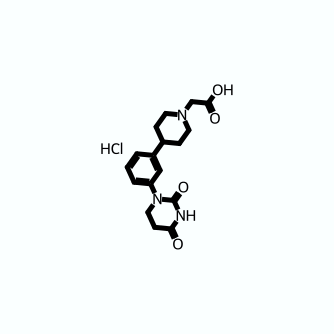 Cl.O=C(O)CN1CCC(c2cccc(N3CCC(=O)NC3=O)c2)CC1